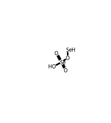 O=[Se](=O)(O)O[SeH]